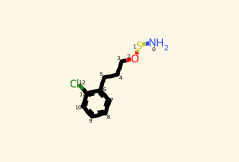 NSOCCCc1ccccc1Cl